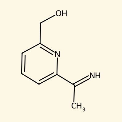 CC(=N)c1cccc(CO)n1